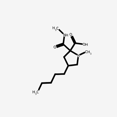 CCCCCC1CN(C)C(C(=O)O)(C(=O)NC)C1